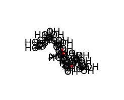 CC(C)=CCC[C@](C)(O[C@@H]1O[C@H](CO[C@@H]2O[C@H](CO[C@@H]3OC[C@@H](O)[C@H](O)[C@H]3O)[C@@H](O)[C@H](O)[C@H]2O)[C@@H](O)[C@H](O)[C@H]1O)[C@H]1CC[C@]2(C)[C@@H]1[C@H](O)C[C@@H]1[C@@]3(C)CC[C@H](O)C(C)(C)[C@@H]3[C@@H](O[C@@H]3O[C@H](CO)[C@@H](O)[C@H](O)[C@H]3O[C@@H]3OC[C@@H](O)[C@H](O)[C@H]3O)C[C@]12C